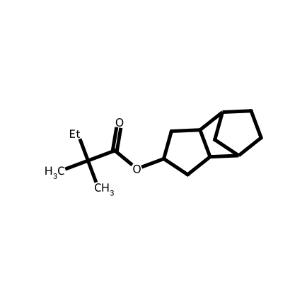 CCC(C)(C)C(=O)OC1CC2C3CCC(C3)C2C1